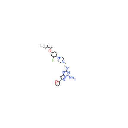 C[C@@H](Oc1ccc(N2CCN(CCN(C)c3nc(N)n4nc(-c5ccco5)cc4n3)CC2)c(F)c1)C(=O)O